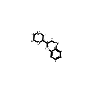 c1ccc2c(c1)OC[C](C1COCCO1)O2